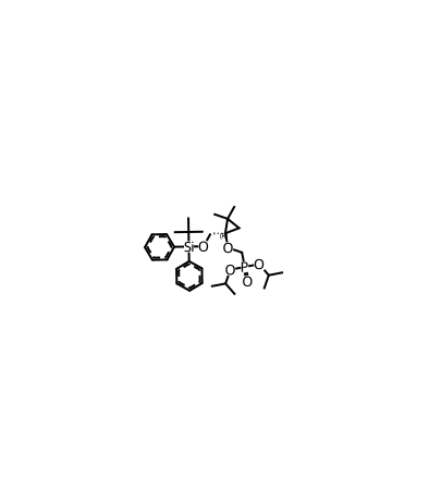 CC(C)OP(=O)(CO[C@]1(CO[Si](c2ccccc2)(c2ccccc2)C(C)(C)C)CC1(C)C)OC(C)C